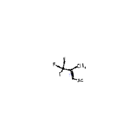 CC(=O)/C=C(\C)C(F)(F)F